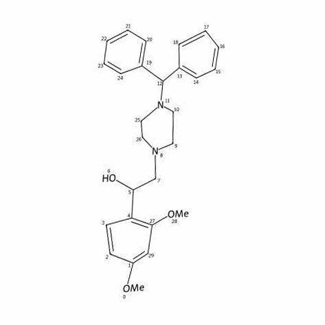 COc1ccc(C(O)CN2CCN(C(c3ccccc3)c3ccccc3)CC2)c(OC)c1